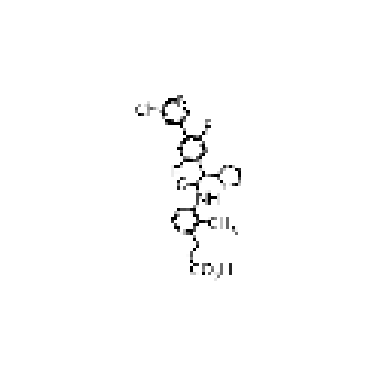 Cc1c(CCC(=O)O)cccc1NC(=O)C(c1cc(F)c(-c2cncc(Cl)c2)cc1F)C1CCCC1